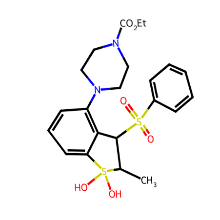 CCOC(=O)N1CCN(c2cccc3c2C(S(=O)(=O)c2ccccc2)C(C)S3(O)O)CC1